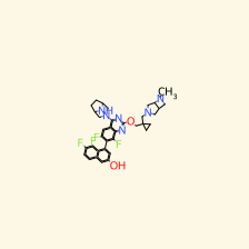 CN1CC2CN(CC3(COc4nc(N5CC6CCC(C5)N6)c5cc(F)c(-c6cc(O)cc7ccc(F)c(F)c67)c(F)c5n4)CC3)CC21